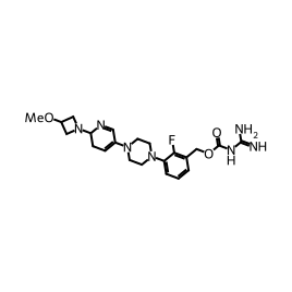 COC1CN(C2CC=C(N3CCN(c4cccc(COC(=O)NC(=N)N)c4F)CC3)C=N2)C1